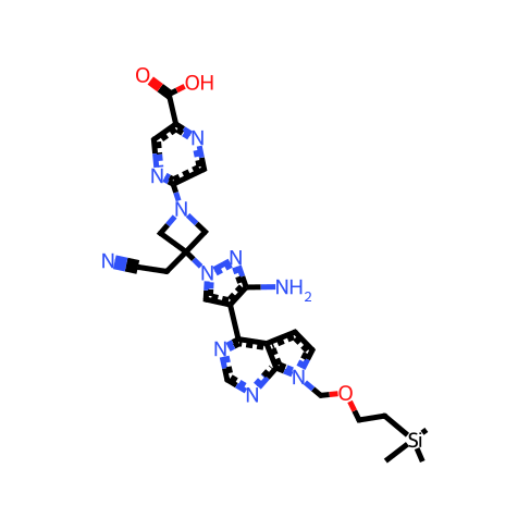 C[Si](C)(C)CCOCn1ccc2c(-c3cn(C4(CC#N)CN(c5cnc(C(=O)O)cn5)C4)nc3N)ncnc21